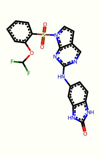 O=c1[nH]c2ccc(Nc3ncc4ccn(S(=O)(=O)c5ccccc5OC(F)F)c4n3)cc2[nH]1